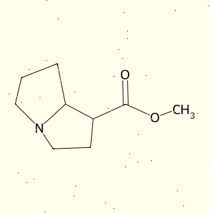 COC(=O)C1CCN2CCCC12